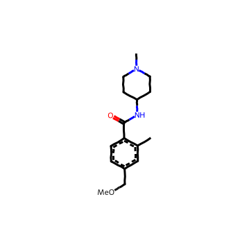 COCc1ccc(C(=O)NC2CCN(C)CC2)c(C)c1